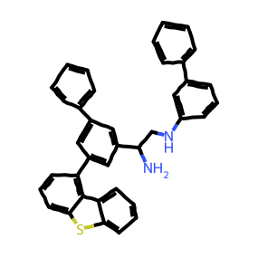 NC(CNc1cccc(-c2ccccc2)c1)c1cc(-c2ccccc2)cc(-c2cccc3sc4ccccc4c23)c1